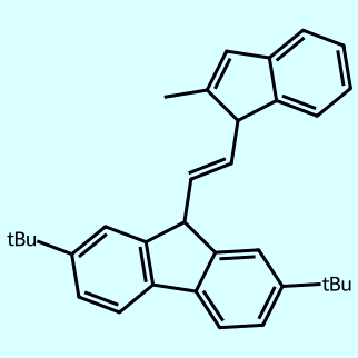 CC1=Cc2ccccc2C1C=CC1c2cc(C(C)(C)C)ccc2-c2ccc(C(C)(C)C)cc21